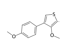 COc1ccc(-c2cs[c]c2OC)cc1